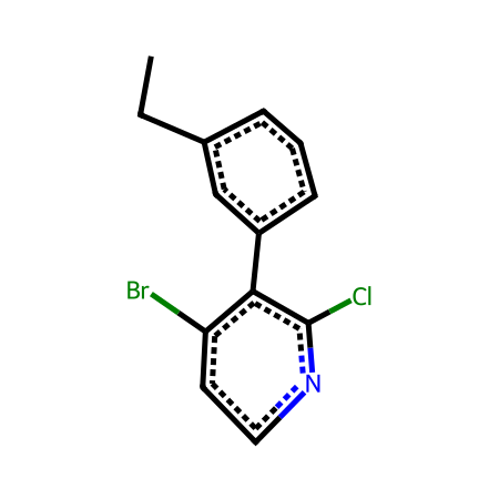 CCc1cccc(-c2c(Br)ccnc2Cl)c1